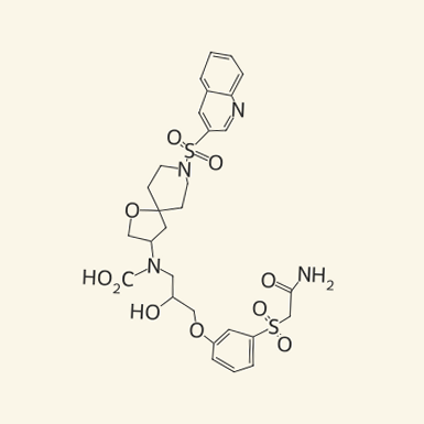 NC(=O)CS(=O)(=O)c1cccc(OCC(O)CN(C(=O)O)C2COC3(CCN(S(=O)(=O)c4cnc5ccccc5c4)CC3)C2)c1